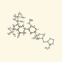 [2H]C(CC1CCCN1C)NS(=O)(=O)c1ccc(OCCC)c(-c2nc3c(C([2H])([2H])C([2H])([2H])C)nn(C([2H])([2H])[2H])c3c(=O)[nH]2)c1